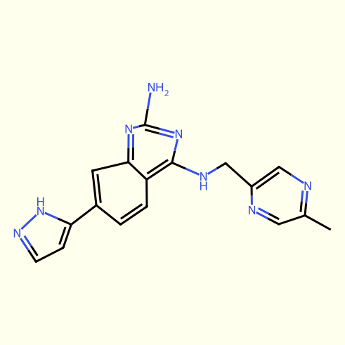 Cc1cnc(CNc2nc(N)nc3cc(-c4ccn[nH]4)ccc23)cn1